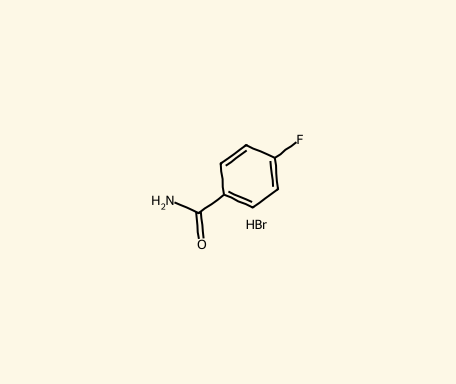 Br.NC(=O)c1ccc(F)cc1